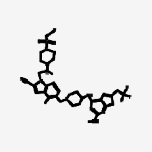 CNc1nc(NC2CCN(Cc3ccc4c(cc(C#N)n4C[C@H](C)N4CCN(S(=O)(=O)CF)CC4)c3C)CC2)c2cc(CC(F)(F)F)sc2n1